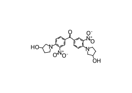 O=C(c1ccc(N2CCC(O)C2)c([N+](=O)[O-])c1)c1ccc(N2CCC(O)C2)c([N+](=O)[O-])c1